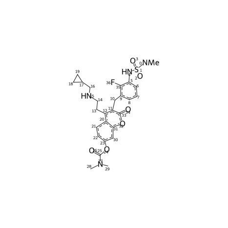 CNS(=O)(=O)Nc1cccc(Cc2c(CCNCC3CC3)c3ccc(OC(=O)N(C)C)cc3oc2=O)c1F